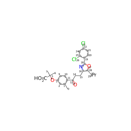 Cc1cc(OC(C)(C)C(=O)O)ccc1C(=O)CCc1nc(-c2ccc(Cl)cc2Cl)oc1C(C)C